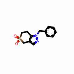 O=S1(=O)CCc2c(cnn2Cc2ccccc2)C1